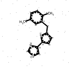 Cc1ccc(C)c(Cc2ccc(-c3cscn3)s2)c1